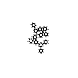 c1ccc(-c2ccc(N(c3ccc(C4(c5ccc(-c6nc(-c7ccccc7)nc(-c7ccccc7)n6)cc5)CCCCC4)cc3)c3cccc4c3-c3ccccc3C43c4ccccc4-c4ccccc43)cc2)cc1